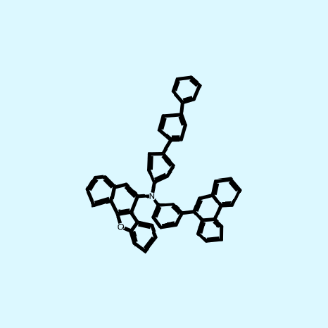 c1ccc(-c2ccc(-c3ccc(N(c4cccc(-c5cc6ccccc6c6ccccc56)c4)c4cc5ccccc5c5oc6ccccc6c45)cc3)cc2)cc1